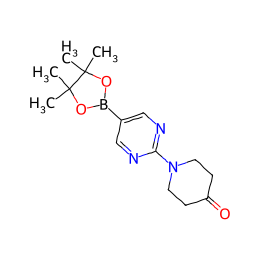 CC1(C)OB(c2cnc(N3CCC(=O)CC3)nc2)OC1(C)C